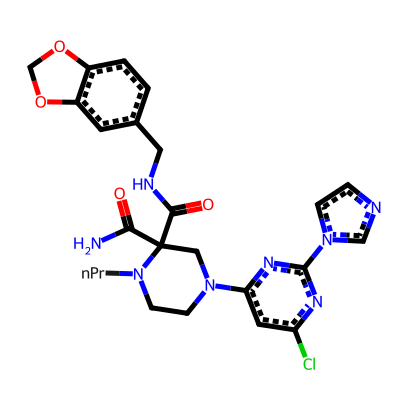 CCCN1CCN(c2cc(Cl)nc(-n3ccnc3)n2)CC1(C(N)=O)C(=O)NCc1ccc2c(c1)OCO2